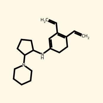 C=CC1=C(C=C)CCC(NC2CCCC2N2CCCCC2)=C1